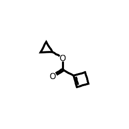 O=C(OC1CC1)C1=CCC1